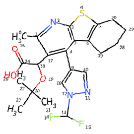 Cc1nc2sc3c(c2c(-c2cnn(C(F)F)c2)c1C(OC(C)(C)C)C(=O)O)CCCC3